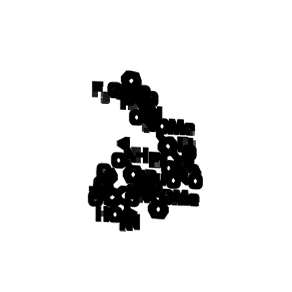 CCc1cc(C)cc(CC)c1-c1c(OC(=O)C(C)(C)C)n2n(c1=O)CCOCC2.COc1ccccc1C(=O)NS(=O)(=O)c1ccc(C(=O)NC2CC2)cc1.COc1nn(C(=O)NS(=O)(=O)c2ccccc2OC(F)(F)F)c(=O)n1C.Cc1c(C(=O)c2cnn(C)c2O)ccc(S(C)(=O)=O)c1C1=NOCC1